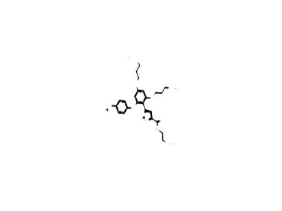 CCCCOc1cc(OCCCC)c(-c2cc(C(=O)NCCO)no2)c(Oc2ccc([N+](=O)[O-])cc2)c1